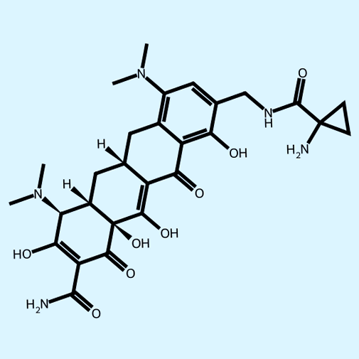 CN(C)c1cc(CNC(=O)C2(N)CC2)c(O)c2c1C[C@H]1C[C@H]3[C@H](N(C)C)C(O)=C(C(N)=O)C(=O)[C@@]3(O)C(O)=C1C2=O